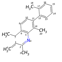 C=C/C(C)=N\c1c(CC)ccc(-c2ccccc2C)c1C